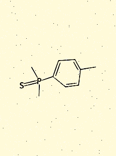 Cc1ccc(P(C)(C)=S)cc1